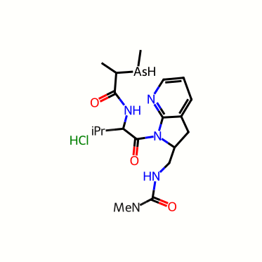 CNC(=O)NCC1Cc2cccnc2N1C(=O)C(NC(=O)C(C)[AsH]C)C(C)C.Cl